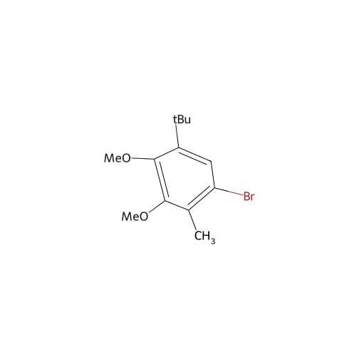 COc1c(C(C)(C)C)cc(Br)c(C)c1OC